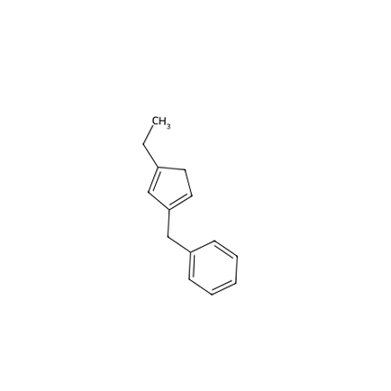 CCC1=CC(Cc2ccccc2)=CC1